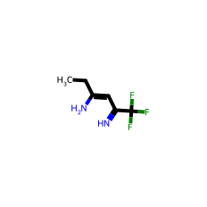 CC/C(N)=C/C(=N)C(F)(F)F